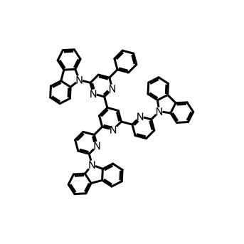 c1ccc(-c2cc(-n3c4ccccc4c4ccccc43)nc(-c3cc(-c4cccc(-n5c6ccccc6c6ccccc65)n4)nc(-c4cccc(-n5c6ccccc6c6ccccc65)n4)c3)n2)cc1